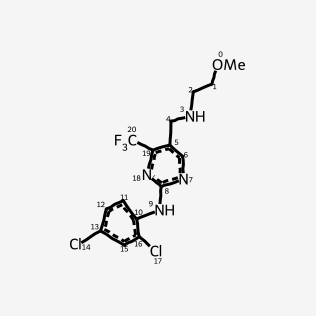 COCCNCc1cnc(Nc2ccc(Cl)cc2Cl)nc1C(F)(F)F